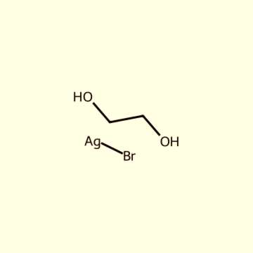 OCCO.[Br][Ag]